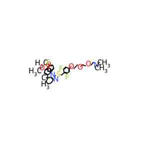 COc1ccc(C2(C)CCCc3nc(SCc4c(F)cc(OCCOCCOCCN(C)C)cc4F)n(-c4ccc(F)cc4)c32)cc1OC